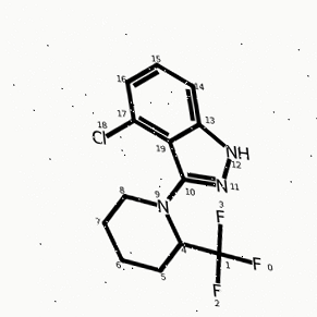 FC(F)(F)C1CCCCN1c1n[nH]c2cccc(Cl)c12